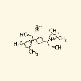 C#CCC(c1ccc(C(CC#C)[n+]2cc(C)cc(C)c2)cc1)[n+]1cc(C)cc(C)c1.[Br-].[Br-]